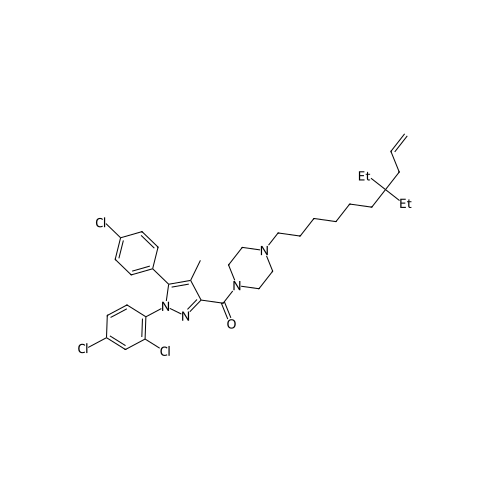 C=CCC(CC)(CC)CCCCCCN1CCN(C(=O)c2nn(-c3ccc(Cl)cc3Cl)c(-c3ccc(Cl)cc3)c2C)CC1